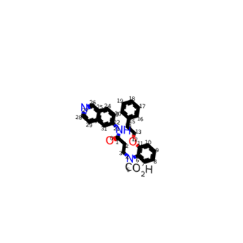 O=C(CCN(C(=O)O)c1ccccc1OCCc1ccccc1)Nc1ccc2cnccc2c1